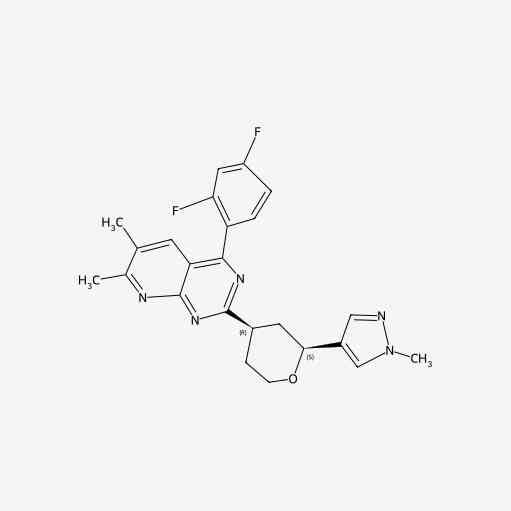 Cc1cc2c(-c3ccc(F)cc3F)nc([C@@H]3CCO[C@H](c4cnn(C)c4)C3)nc2nc1C